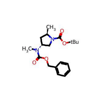 C[C@@H]1C[C@@H](N(C)C(=O)OCc2ccccc2)CN1C(=O)OC(C)(C)C